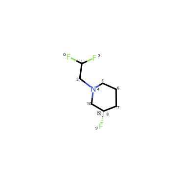 FC(F)CN1CC[CH][C@H](F)C1